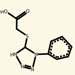 O=C(O)CSC1NN=NN1c1ccccc1